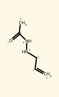 C=CCNNC(C)=O